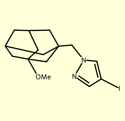 COC12CC3CC(CC(Cn4cc(I)cn4)(C3)C1)C2